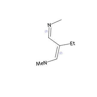 CCC(/C=N\C)=C/NC